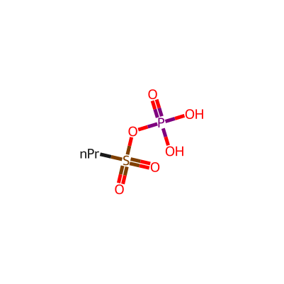 CCCS(=O)(=O)OP(=O)(O)O